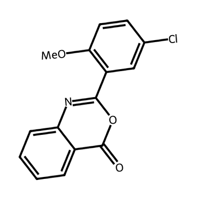 COc1ccc(Cl)cc1-c1nc2ccccc2c(=O)o1